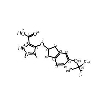 O=C(O)c1[nH]nnc1OC1Cc2ccc(OC(F)(F)F)cc2C1